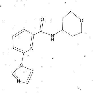 O=C(NC1CCOCC1)c1cccc(-n2ccnc2)n1